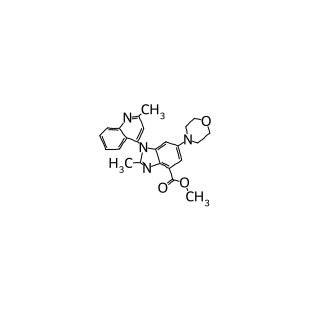 COC(=O)c1cc(N2CCOCC2)cc2c1nc(C)n2-c1cc(C)nc2ccccc12